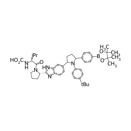 CC(C)[C@H](NC(=O)O)C(=O)N1CCC[C@H]1c1nc2ccc(C3CCC(c4ccc(B5OC(C)(C)C(C)(C)O5)cc4)N3c3ccc(C(C)(C)C)cc3)cc2[nH]1